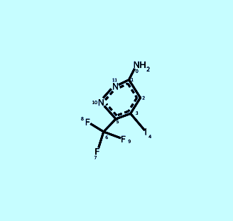 Nc1cc(I)c(C(F)(F)F)nn1